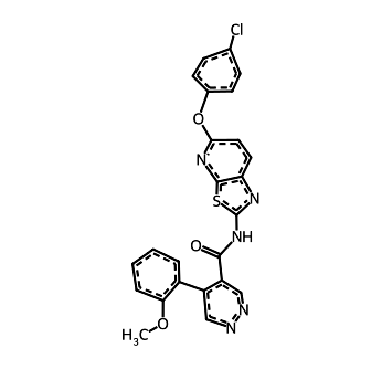 COc1ccccc1-c1cnncc1C(=O)Nc1nc2ccc(Oc3ccc(Cl)cc3)nc2s1